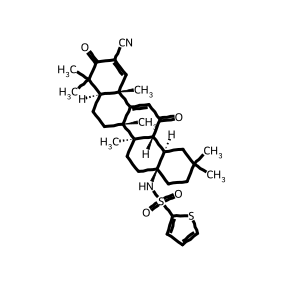 CC1(C)CC[C@]2(NS(=O)(=O)c3cccs3)CC[C@]3(C)[C@H](C(=O)C=C4[C@@]5(C)C=C(C#N)C(=O)C(C)(C)[C@@H]5CC[C@]43C)[C@H]2C1